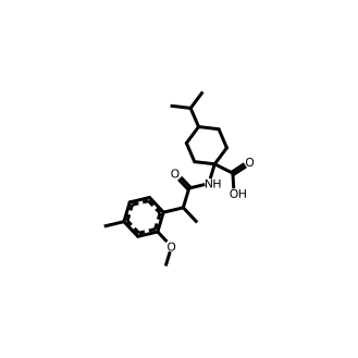 COc1cc(C)ccc1C(C)C(=O)NC1(C(=O)O)CCC(C(C)C)CC1